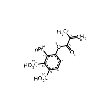 C=C(C)C(=O)Oc1ccc(C(=O)O)c(C(=O)O)c1CCC